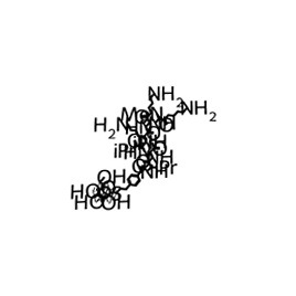 CNC(NC(NC(=O)C(CCCCN)NC(NC(NC(=O)C(NC(=O)c1ccc(CCS[C@@H]2O[C@H](CO)[C@@H](O)[C@H](O)[C@H]2O)cc1)C(C)C)C(=O)C(C)C)C(=O)C(C)C)C(=O)CCCCN)C(=O)CCCCN